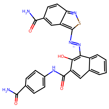 NC(=O)c1ccc(NC(=O)c2cc3ccccc3c(/N=N/c3snc4ccc(C(N)=O)cc34)c2O)cc1